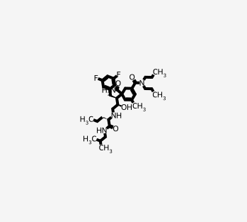 CCC[C@H](NC[C@H](O)[C@@H](Cc1cc(F)cc(F)c1)C1(C(N)=O)C=C(C)C=C(C(=O)N(CCC)CCC)C1)C(=O)NCC(C)C